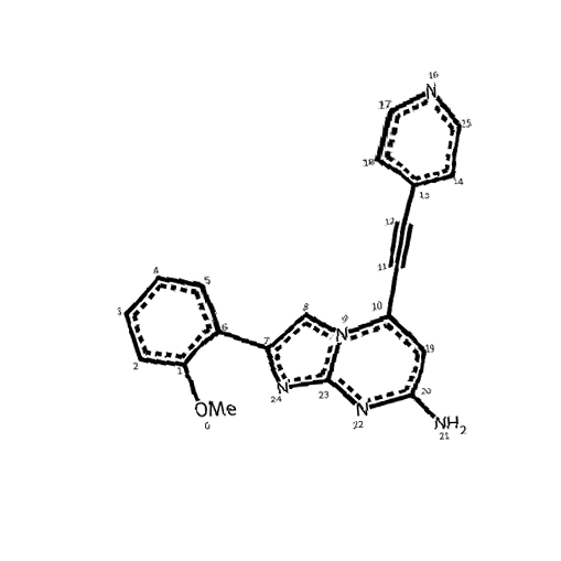 COc1ccccc1-c1cn2c(C#Cc3ccncc3)cc(N)nc2n1